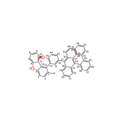 Cc1ccc2oc3ccccc3c2c1-c1cc(-c2c3ccccc3c(-c3ccccc3-c3ccccc3)c3ccccc23)ccc1O